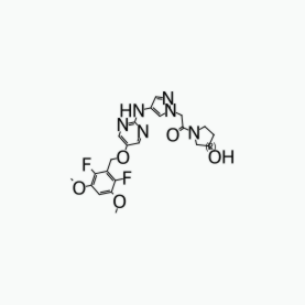 COc1cc(OC)c(F)c(COc2cnc(Nc3cnn(CC(=O)N4CC[C@@H](O)C4)c3)nc2)c1F